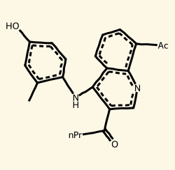 CCCC(=O)c1cnc2c(C(C)=O)cccc2c1Nc1ccc(O)cc1C